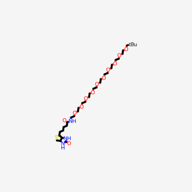 CC(C)(C)COCCOCCOCCOCCOCCOCCOCCOCCOCCOCCNC(=O)CCCCC1SCC2NC(=O)NC21